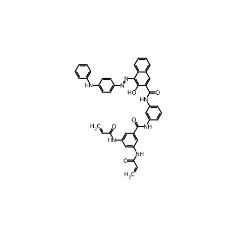 C=CC(=O)Nc1cc(NC(=O)C=C)cc(C(=O)Nc2cccc(NC(=O)c3cc4ccccc4c(/N=N/c4ccc(Nc5ccccc5)cc4)c3O)c2)c1